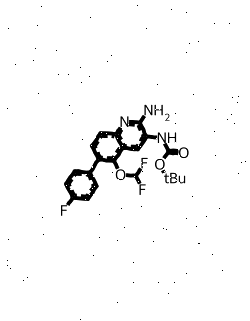 CC(C)(C)OC(=O)Nc1cc2c(OC(F)F)c(-c3ccc(F)cc3)ccc2nc1N